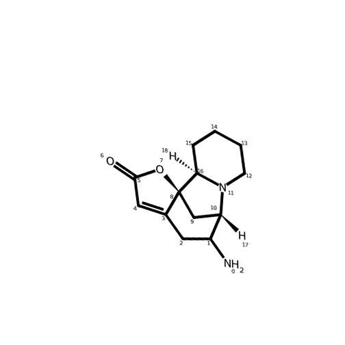 NC1CC2=CC(=O)O[C@@]23C[C@@H]1N1CCCC[C@@H]13